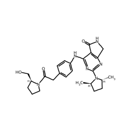 C[C@@H]1CC[C@@H](C)N1c1nc2c(c(Nc3ccc(CC(=O)N4CCC[C@H]4CO)cc3)n1)C(=O)NC2